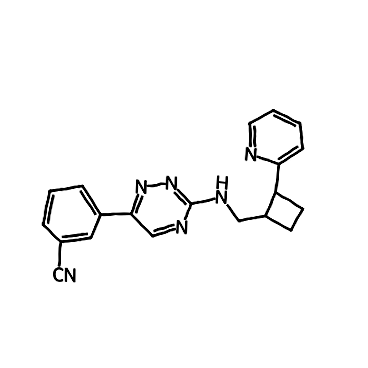 N#Cc1cccc(-c2cnc(NCC3CCC3c3ccccn3)nn2)c1